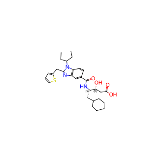 CCC(CC)n1c(Cc2cccs2)nc2cc(C(=O)N[C@@H](CC3CCCCC3)[C@H](O)CC(=O)O)ccc21